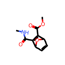 CNC(=O)C1=C(C(=O)OC)C2C=CC1O2